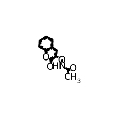 CC(=O)NOc1cc2ccccc2oc1=O